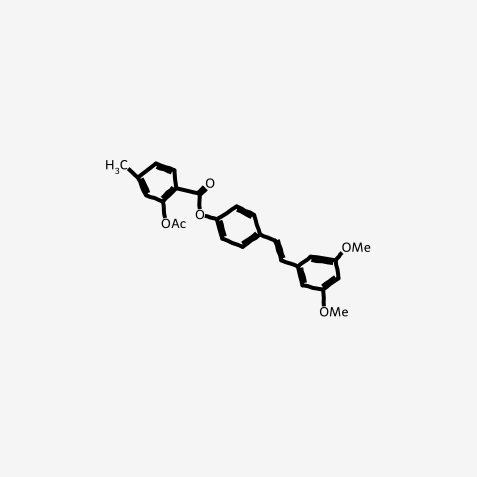 COc1cc(/C=C/c2ccc(OC(=O)c3ccc(C)cc3OC(C)=O)cc2)cc(OC)c1